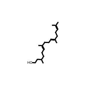 CC(C)=CCCC(C)=CCCC(C)=CCCC(C)CCO